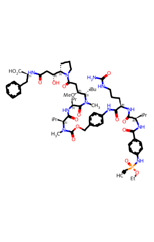 C#CP(=O)(Nc1ccc(C(=O)N[C@@H](C(=O)N[C@H](CCCNC(N)=O)C(=O)Nc2ccc(COC(=O)N(C)[C@H](C(=O)N[C@H](C(=O)N(C)[C@@H](C(C)CC)[C@@H](CC(=O)N3CCC[C@H]3[C@H](O)CC(=O)N[C@@H](Cc3ccccc3)C(=O)O)OC)C(C)C)C(C)C)cc2)C(C)C)cc1)OCC